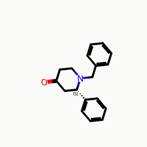 O=C1CCN(Cc2ccccc2)[C@H](c2ccccc2)C1